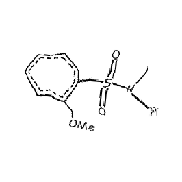 COc1ccccc1S(=O)(=O)N(C)C(C)C